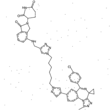 Cc1nnc2n1-c1ccc(-c3cnn(CCCCCCn4cc(CNc5cccc6c5CN(C5CCC(=O)NC5=O)C6=O)nn4)c3)cc1C(c1ccc(Cl)cc1)=NC21CC1